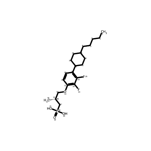 CCCCCC1CCC(c2ccc(OC[C@@H](C)CP(=O)(O)O)c(F)c2F)CC1